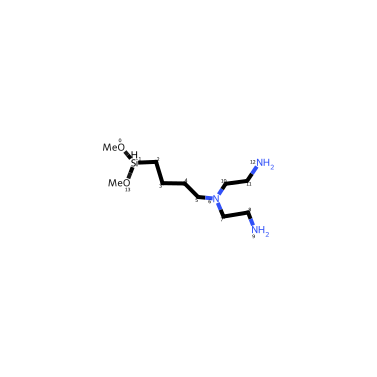 CO[SiH](CCCCN(CCN)CCN)OC